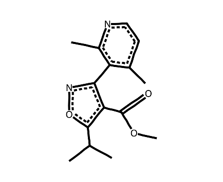 COC(=O)c1c(-c2c(C)ccnc2C)noc1C(C)C